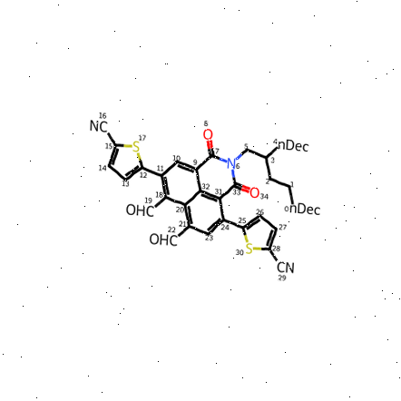 CCCCCCCCCCCCC(CCCCCCCCCC)CN1C(=O)c2cc(-c3ccc(C#N)s3)c(C=O)c3c(C=O)cc(-c4ccc(C#N)s4)c(c23)C1=O